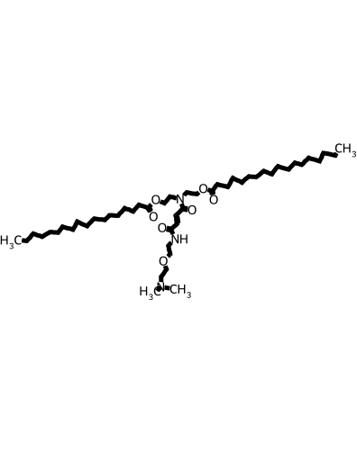 CCCCCCCCCCCCCCCCCC(=O)OCCN(CCOC(=O)CCCCCCCCCCCCCCCCC)C(=O)C=CC(=O)NCCOCCN(C)C